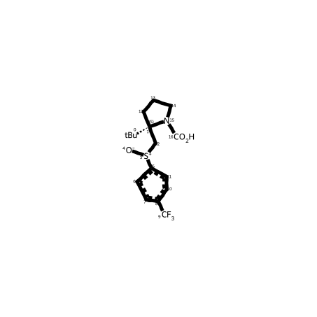 CC(C)(C)[C@]1(C[S+]([O-])c2ccc(C(F)(F)F)cc2)CCCN1C(=O)O